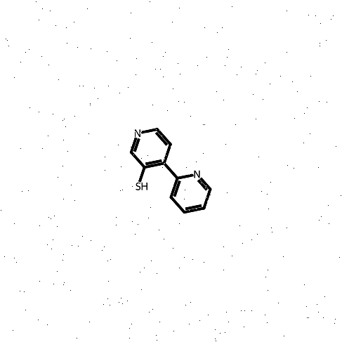 Sc1cnccc1-c1ccccn1